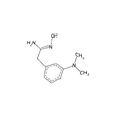 CN(C)c1cccc(CC(N)=NO)c1